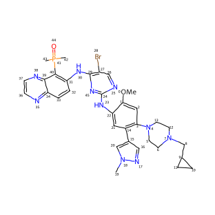 COc1cc(N2CCN(CC3CC3)CC2)c(-c2cnn(C)c2)cc1Nc1ncc(Br)c(Nc2ccc3nccnc3c2P(C)(C)=O)n1